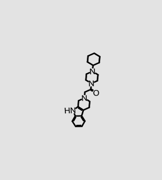 O=C(CN1CCc2c([nH]c3ccccc23)C1)N1CCN(C2CCCCC2)CC1